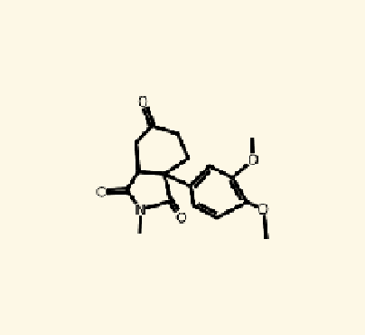 COc1ccc(C23CCC(=O)CC2C(=O)N(C)C3=O)cc1OC